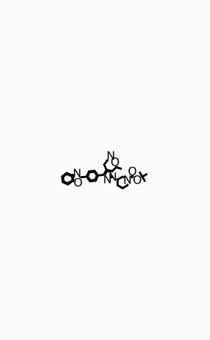 CC(=O)c1c(CC#N)c(-c2ccc(-c3nc4ccccc4o3)cc2)nn1[C@@H]1CCCN(C(=O)OC(C)(C)C)C1